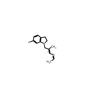 C/C=N\C=C(/C)CN1CCc2ccc(F)cc21